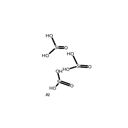 O=[Si](O)O.O=[Si](O)O.O=[Si](O)O.[Al]